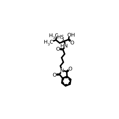 CC(C)C[C@](S)(NC(=O)CCCCN1C(=O)c2ccccc2C1=O)C(=O)O